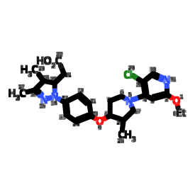 CCOc1cc(N2CCC(Oc3ccc(N4N=C(C)C(C)C4CC(=O)O)cc3)C(C)C2)c(Cl)cn1